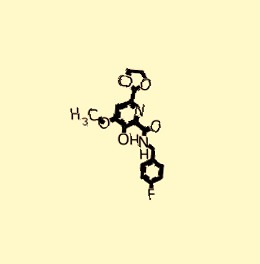 COc1cc(C2OCCO2)nc(C(=O)NCc2ccc(F)cc2)c1O